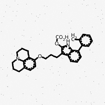 Cc1ccccc1-c1cccc2c(CCCOc3ccc4c5c3CCCN5CCC4)c(OC(=O)O)[nH]c12